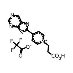 O=C(O)CC[n+]1ccc(-c2nc3cncnc3s2)cc1.O=C([O-])C(F)(F)F